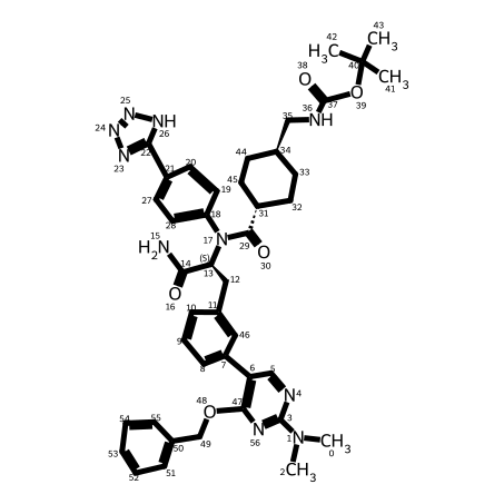 CN(C)c1ncc(-c2cccc(C[C@@H](C(N)=O)N(c3ccc(-c4nnn[nH]4)cc3)C(=O)[C@H]3CC[C@H](CNC(=O)OC(C)(C)C)CC3)c2)c(OCc2ccccc2)n1